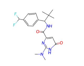 CN(C)c1nc(C(=O)NC(c2ccc(C(F)F)cc2)C(C)(C)C)cc(=O)[nH]1